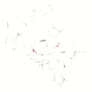 CC(C)[C@H](NC(=O)[C@H](CC(=O)O)NC(=O)[C@@H]1CCCN1C(=O)[C@@H]1CCCN1C(=O)CNC(=O)[C@@H]1CCCN1)C(=O)N1CCC[C@H]1C(=O)N[C@@H](CC(=O)O)C(=O)N[C@@H](Cc1c[nH]cn1)C(=O)N[C@@H](C)C(=O)N[C@@H](C)C(=O)O